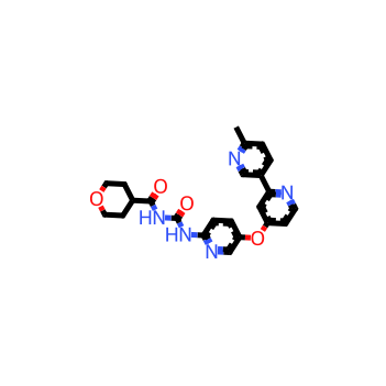 Cc1ccc(-c2cc(Oc3ccc(NC(=O)NC(=O)C4CCOCC4)nc3)ccn2)cn1